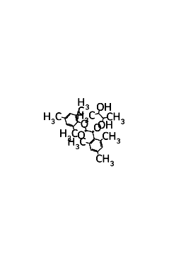 CC(O)C(C)O.Cc1cc(C)c(OC(=O)C(=O)c2c(C)cc(C)cc2C)c(C)c1